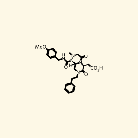 COc1ccc(CNC(=O)N2[C@H]3CN(CCc4ccccc4)C(=O)[C@H](CC(=O)O)N3C(=O)CN2C)cc1